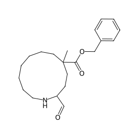 CC1(C(=O)OCc2ccccc2)CCCCCCCNC(C=O)CC1